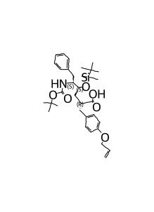 C=CCOc1ccc(C[C@H](C[C@H](O[Si](C)(C)C(C)(C)C)[C@H](Cc2ccccc2)NC(=O)OC(C)(C)C)C(=O)O)cc1